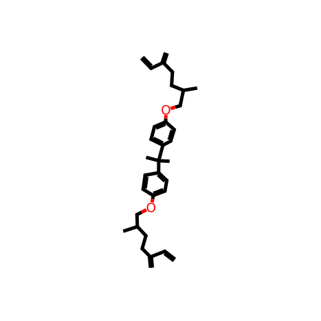 C=CC(=C)CCC(C)COc1ccc(C(C)(C)c2ccc(OCC(C)CCC(=C)C=C)cc2)cc1